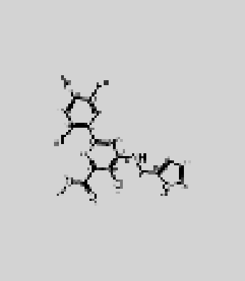 COC(=O)c1nc(-c2cc(F)c(F)cc2F)nc(NCc2ccco2)c1Cl